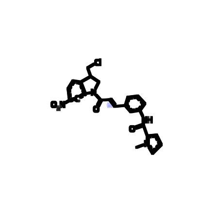 Cn1cccc1C(=O)Nc1cccc(/C=C/C(=O)N2CC(CCl)c3ccc([N+](=O)[O-])cc32)c1